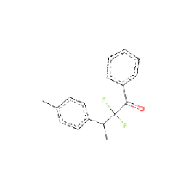 Cc1ccc(C(C)C(F)(F)C(=O)c2ccccc2)cc1